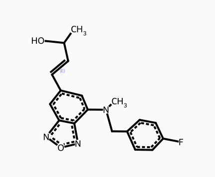 CC(O)/C=C/c1cc(N(C)Cc2ccc(F)cc2)c2nonc2c1